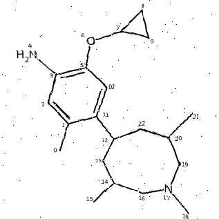 Cc1cc(N)c(OC2CC2)cc1C1CC(C)CN(C)CC(C)C1